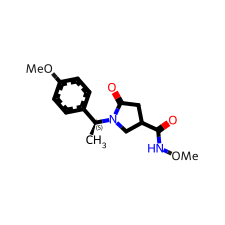 CONC(=O)C1CC(=O)N([C@@H](C)c2ccc(OC)cc2)C1